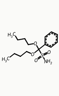 CCCCOC(OCCCC)(c1ccccc1)S(N)(=O)=O